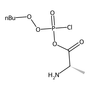 CCCCOOP(=O)(Cl)OC(=O)[C@H](C)N